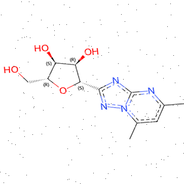 Cc1cc(C)n2nc([C@@H]3O[C@H](CO)[C@@H](O)[C@H]3O)nc2n1